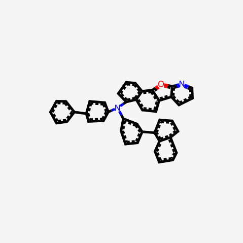 c1ccc(-c2ccc(N(c3cccc(-c4cccc5ccccc45)c3)c3cccc4c3ccc3c5cccnc5oc43)cc2)cc1